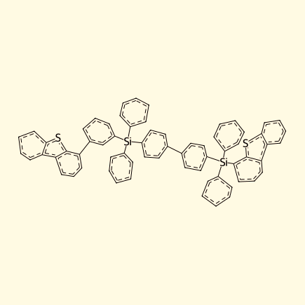 c1ccc([Si](c2ccccc2)(c2ccc(-c3ccc([Si](c4ccccc4)(c4ccccc4)c4cccc5c4sc4ccccc45)cc3)cc2)c2cccc(-c3cccc4c3sc3ccccc34)c2)cc1